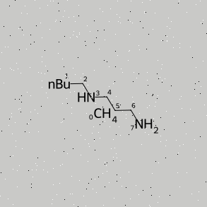 C.CCCCCNCCCN